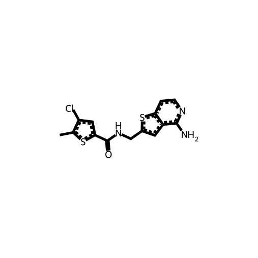 Cc1sc(C(=O)NCc2cc3c(N)nccc3s2)cc1Cl